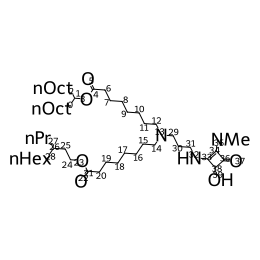 CCCCCCCCC(CCCCCCCC)OC(=O)CCCCCCCN(CCCCCCCC(=O)OCCC(CCC)CCCCCC)CCCNC1=C(NC)C(=O)C1O